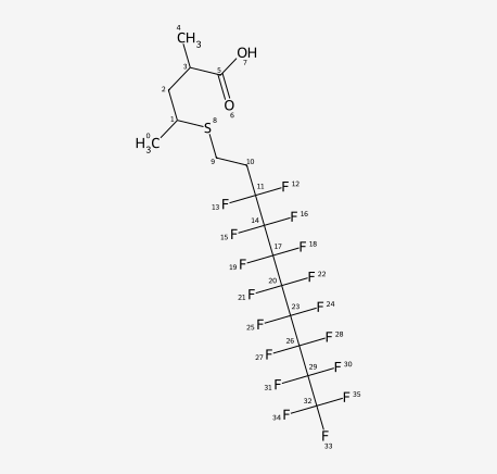 CC(CC(C)C(=O)O)SCCC(F)(F)C(F)(F)C(F)(F)C(F)(F)C(F)(F)C(F)(F)C(F)(F)C(F)(F)F